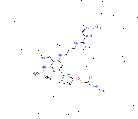 CNCC(O)COc1cccc(-c2cc(NCCCNC(=O)c3ccn(C)n3)c(C=N)c(NC(C)C)n2)c1